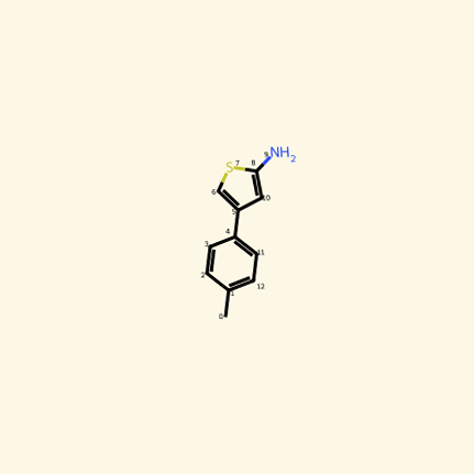 Cc1ccc(-c2csc(N)c2)cc1